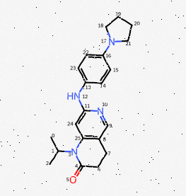 CC(C)N1C(=O)CCc2cnc(Nc3ccc(N4CCCC4)cc3)cc21